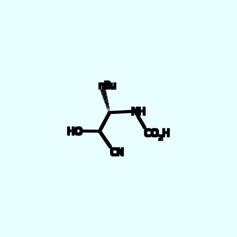 CCCC[C@H](NC(=O)O)C(O)C#N